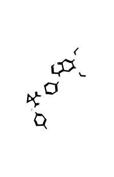 CCOc1cc2nccc(Oc3ccc(NC(=O)C4(C(=O)Nc5ccc(C)cc5)CC4)cc3)c2cc1OCC